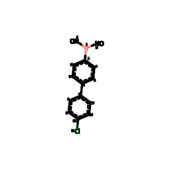 O=NB(N=O)c1ccc(-c2ccc(Cl)cc2)cc1